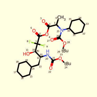 CC(C(=O)OC(=O)C(F)(F)[C@H](O)[C@H](CC1CCCCC1)NC(=O)OC(C)(C)C)N(C(=O)OC(C)(C)C)C1CCCCC1